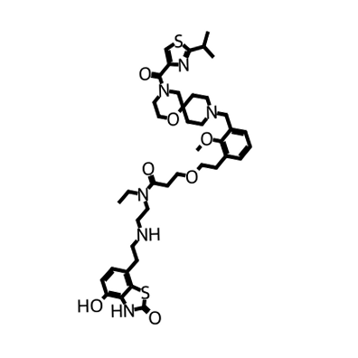 CCN(CCNCCc1ccc(O)c2[nH]c(=O)sc12)C(=O)CCOCCc1cccc(CN2CCC3(CC2)CN(C(=O)c2csc(C(C)C)n2)CCO3)c1OC